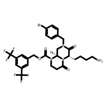 NCCCC[C@H]1C(=O)N(Cc2ccc(Br)cc2)C[C@@H]2N(C(=O)OCc3cc(C(F)(F)F)cc(C(F)(F)F)c3)CCC(=O)N21